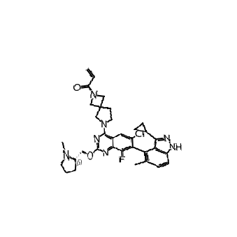 C=CC(=O)N1CC2(CCN(c3nc(OC[C@@H]4CCCN4C)nc4c(F)c(-c5c(C)ccc6[nH]nc(C7CC7)c56)c(Cl)cc34)C2)C1